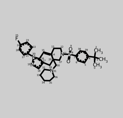 CC(C)(C)c1ccc(S(=O)(=O)N2CCC3=Cc4c(cnn4-c4ccc(F)cc4)CC3(CN3CCCCC3)C2)cc1